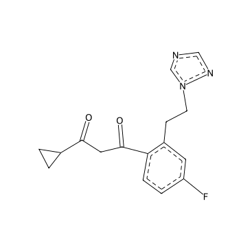 O=C(CC(=O)C1CC1)c1ccc(F)cc1CCn1cncn1